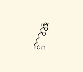 CCCCCCCCCCCCCC(=O)CC(=O)CCC